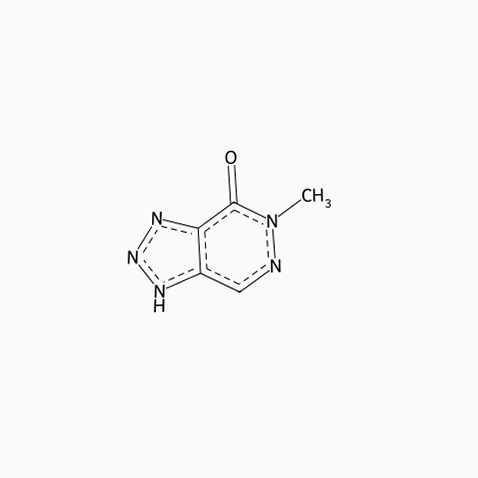 Cn1ncc2[nH]nnc2c1=O